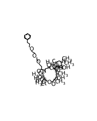 CC[C@H]1OC(=O)[C@H](C)[C@@H](O)[C@H](C)[C@@H](O[C@@H]2O[C@H](C)C[C@H](N(C)C)[C@H]2O)[C@](C)(O)C[C@@H](C)CN(C(=O)CCOCCOCCOCCCc2ccccc2)[C@H](C)[C@@H](O)[C@]1(C)O